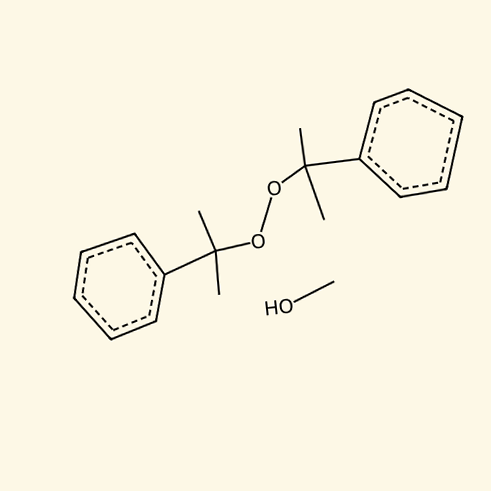 CC(C)(OOC(C)(C)c1ccccc1)c1ccccc1.CO